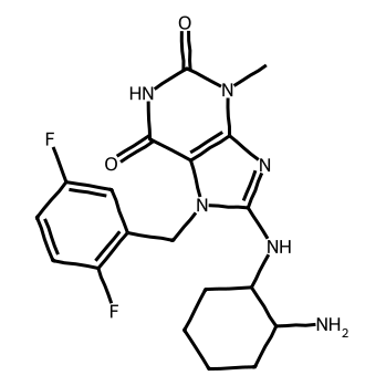 Cn1c(=O)[nH]c(=O)c2c1nc(NC1CCCCC1N)n2Cc1cc(F)ccc1F